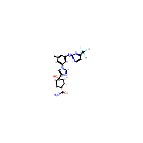 Cc1cc(Nc2nccc(C(F)(F)F)n2)cc(-n2cnc([C@]3(O)CC[C@H](C(N)=O)CC3)c2)c1